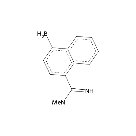 Bc1ccc(C(=N)NC)c2ccccc12